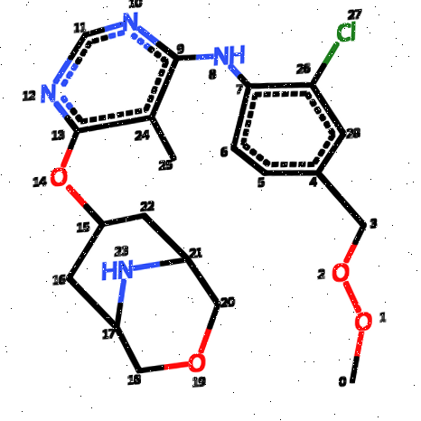 COOCc1ccc(Nc2ncnc(OC3CC4COCC(C3)N4)c2C)c(Cl)c1